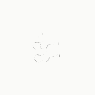 CC1=CC2C=CC=C2S1.CC1=CC2C=CC=C2S1.[Cl-].[Cl-].[Zr+2]